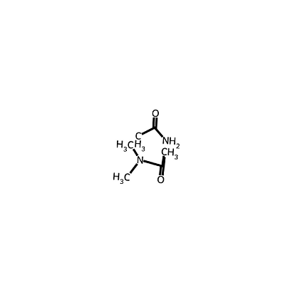 CC(=O)N(C)C.CC(N)=O